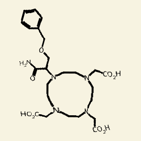 NC(=O)C(COCc1ccccc1)N1CCN(CC(=O)O)CCN(CC(=O)O)CCN(CC(=O)O)CC1